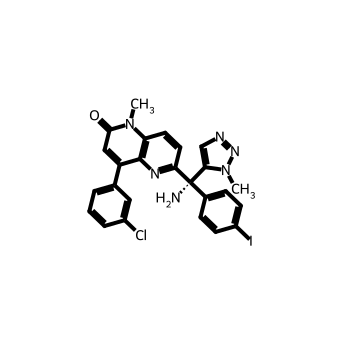 Cn1nncc1[C@@](N)(c1ccc(I)cc1)c1ccc2c(n1)c(-c1cccc(Cl)c1)cc(=O)n2C